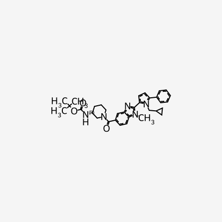 Cn1c(-c2ccc(-c3ccccc3)n2CC2CC2)nc2cc(C(=O)N3CCC[C@@H](NC(=O)OC(C)(C)C)C3)ccc21